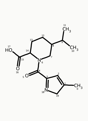 CC1=CC(C(=O)N2CC(C(C)C)CCC2C(=O)O)=NC1